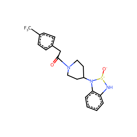 O=C(Cc1ccc(C(F)(F)F)cc1)N1CCC(N2c3ccccc3N[S+]2[O-])CC1